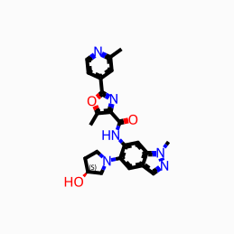 Cc1cc(-c2nc(C(=O)Nc3cc4c(cnn4C)cc3N3CC[C@H](O)C3)c(C)o2)ccn1